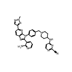 Cn1ncc(-c2ccc3nc(-c4cccnc4N)n(-c4ccc(CN5CCC(Nc6ccnc(C#N)n6)CC5)cc4)c3n2)n1